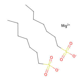 CCCCCCCS(=O)(=O)[O-].CCCCCCCS(=O)(=O)[O-].[Mg+2]